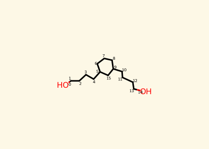 OCCCCC1CCCC(CCCCO)C1